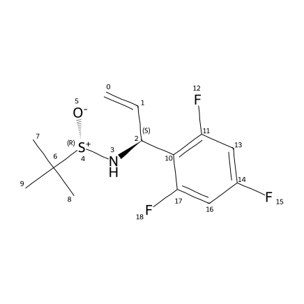 C=C[C@H](N[S@@+]([O-])C(C)(C)C)c1c(F)cc(F)cc1F